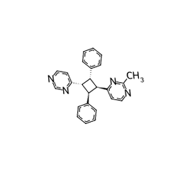 Cc1nccc([C@H]2[C@@H](c3ccccc3)[C@H](c3ccncn3)[C@@H]2c2ccccc2)n1